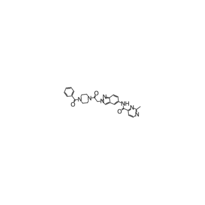 Cc1nccc(C(=O)Nc2ccc3nn(CC(=O)N4CCN(C(=O)c5ccccc5)CC4)cc3c2)n1